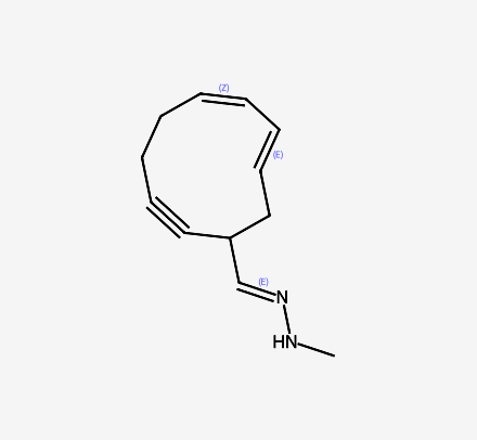 CN/N=C/C1C#CCC/C=C\C=C\C1